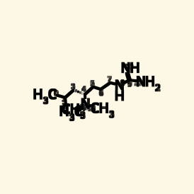 CC(C)C[C@H](CCCNC(=N)N)N(C)C